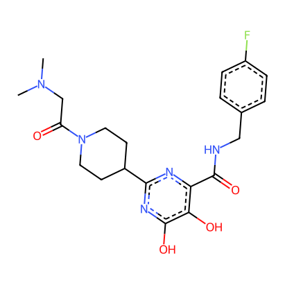 CN(C)CC(=O)N1CCC(c2nc(O)c(O)c(C(=O)NCc3ccc(F)cc3)n2)CC1